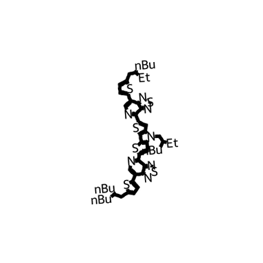 CCCCC(CC)Cc1ccc(-c2cnc(-c3cc4c(s3)c3sc(-c5ncc(-c6ccc(CC(CCCC)CCCC)s6)c6nsnc56)cc3n4CC(CC)CCCC)c3nsnc23)s1